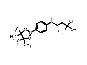 CC(C)(O)CCNc1ccc(N2OC(C)(C)C(C)(C)O2)cc1